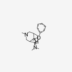 CN1CC2CC[C@@H](N(C)C)C(C1)[C@H]2Oc1ccccc1